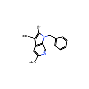 COc1cc2c(C=O)c(C(C)C)n(Cc3ccccc3)c2cn1